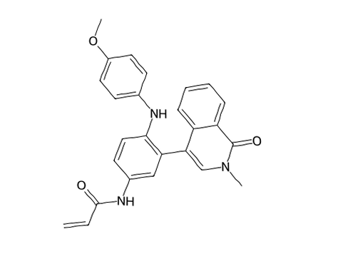 C=CC(=O)Nc1ccc(Nc2ccc(OC)cc2)c(-c2cn(C)c(=O)c3ccccc23)c1